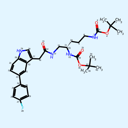 CC(C)(C)OC(=O)NCCC[C@@H](CNC(=O)Cc1c[nH]c2ccc(-c3ccc(F)cc3)cc12)NC(=O)OC(C)(C)C